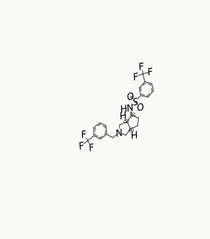 O=S(=O)(N[C@H]1CC[C@H]2CN(Cc3cccc(C(F)(F)F)c3)C[C@H]21)c1cccc(C(F)(F)F)c1